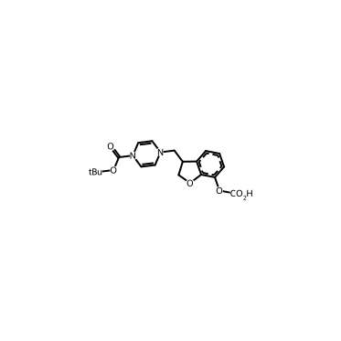 CC(C)(C)OC(=O)N1C=CN(CC2COc3c(OC(=O)O)cccc32)C=C1